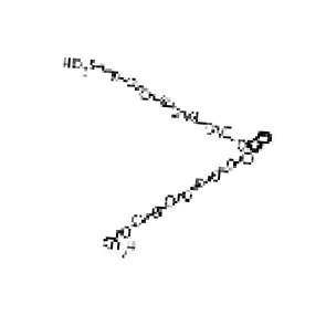 O=S(=O)(O)CCCOCCOCCOCCOCCOCCOCCOCCOCCOc1cc2ccccc2cc1OCCOCCOCCOCCOCCOCCOCCOCCOCCCS(=O)(=O)O